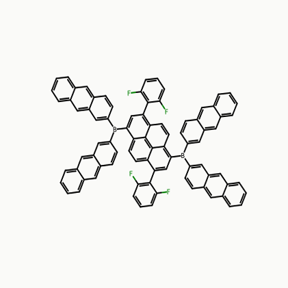 Fc1cccc(F)c1-c1cc(B(c2ccc3cc4ccccc4cc3c2)c2ccc3cc4ccccc4cc3c2)c2ccc3c(-c4c(F)cccc4F)cc(B(c4ccc5cc6ccccc6cc5c4)c4ccc5cc6ccccc6cc5c4)c4ccc1c2c43